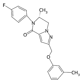 Cc1cccc(OCc2cc3n(n2)C[C@@H](C)N(c2ccc(F)cc2)C3=O)c1